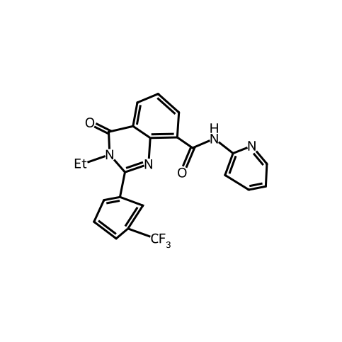 CCn1c(-c2cccc(C(F)(F)F)c2)nc2c(C(=O)Nc3ccccn3)cccc2c1=O